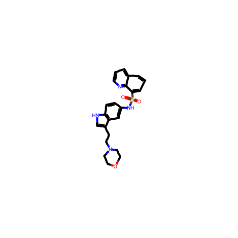 O=S(=O)(Nc1ccc2[nH]cc(CCN3CCOCC3)c2c1)c1cccc2cccnc12